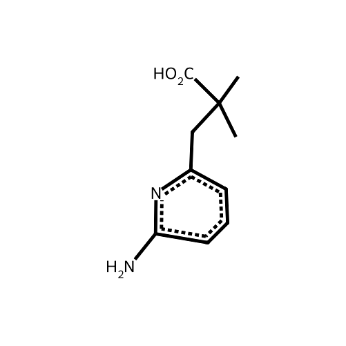 CC(C)(Cc1cccc(N)n1)C(=O)O